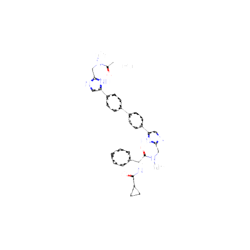 CCCN(Cc1ncc(-c2ccc(-c3ccc(-c4cnc(CN(CCC)C(=O)[C@H](NC(=O)C5CC5)c5ccccc5)[nH]4)cc3)cc2)[nH]1)C(=O)C[C@@H](C)CC